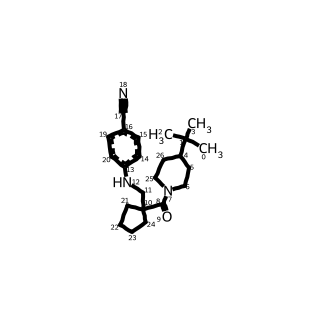 CC(C)(C)C1CCN(C(=O)C2(CNc3ccc(C#N)cc3)CCCC2)CC1